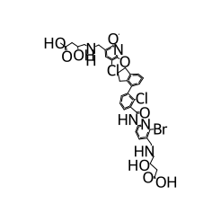 COc1nc(O[C@H]2CCc3c(-c4cccc(C(=O)Nc5ccc(CNCC(O)CC(=O)O)c(Br)n5)c4Cl)cccc32)c(Cl)cc1CNCC(O)CC(=O)O